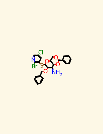 NC1C2OC(c3ccccc3)OCC2OC(Sc2cc(Cl)cnc2Br)C1OCc1ccccc1